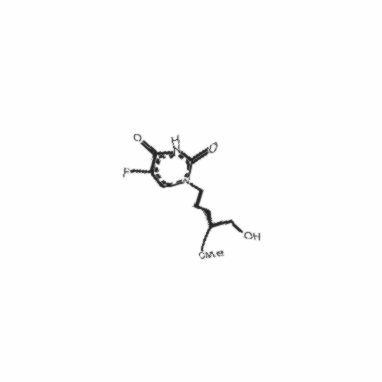 COC(CO)CCn1cc(F)c(=O)[nH]c1=O